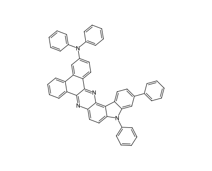 c1ccc(-c2ccc3c4c5nc6c7ccc(N(c8ccccc8)c8ccccc8)cc7c7ccccc7c6nc5ccc4n(-c4ccccc4)c3c2)cc1